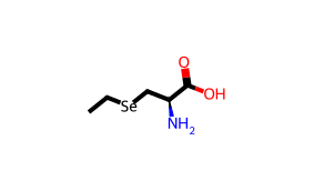 CC[Se]C[C@H](N)C(=O)O